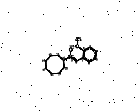 CCOc1ccccc1C=[N+]([O-])C1CCCCCCC1